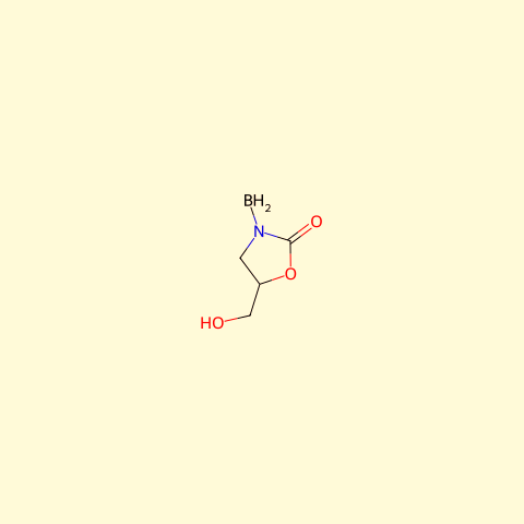 BN1CC(CO)OC1=O